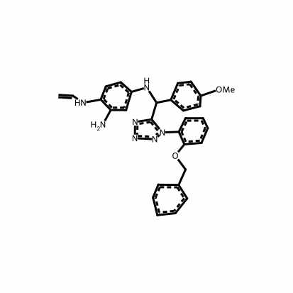 C=CNc1ccc(NC(c2ccc(OC)cc2)c2nnnn2-c2ccccc2OCc2ccccc2)cc1N